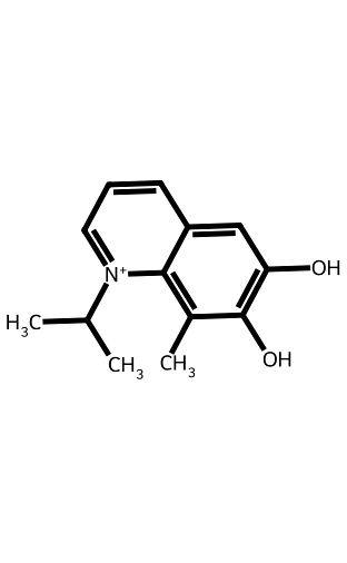 Cc1c(O)c(O)cc2ccc[n+](C(C)C)c12